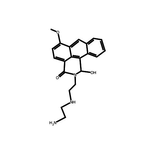 COc1ccc2c3c(c4ccccc4cc13)C(O)N(CCNCCN)C2=O